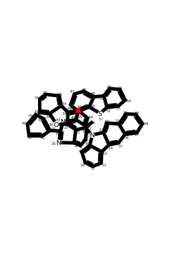 CC1C/C=C(c2c(-n3c4ccccc4c4cc5ccccc5cc43)ccc3c2oc2ccccc23)/N=C(c2ccccc2)\N=C/1c1cccc2c1sc1ccccc12